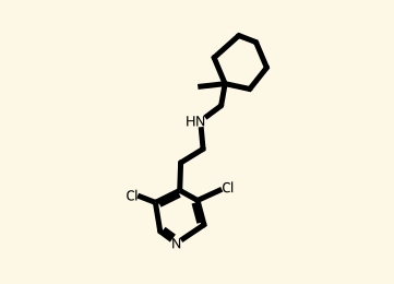 CC1(CNCCc2c(Cl)cncc2Cl)CCCCC1